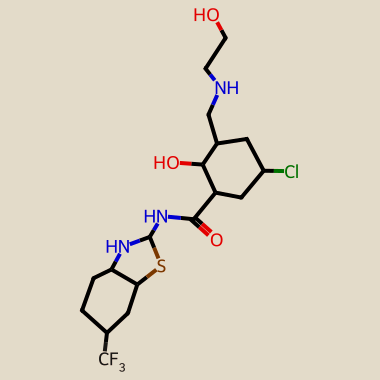 O=C(NC1NC2CCC(C(F)(F)F)CC2S1)C1CC(Cl)CC(CNCCO)C1O